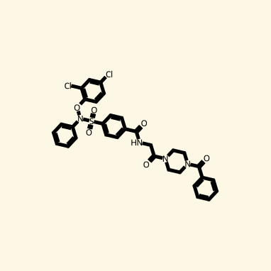 O=C(NCC(=O)N1CCN(C(=O)c2ccccc2)CC1)c1ccc(S(=O)(=O)N(Oc2ccc(Cl)cc2Cl)c2ccccc2)cc1